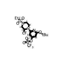 CCS(=O)(=O)N1CCN(c2cc(OS(=O)(=O)C(F)(F)F)cc(OC(C)(C)C)n2)C(C(F)(F)F)C1